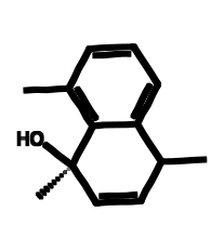 Cc1cccc2c1[C@](C)(O)C=CC2C